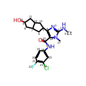 CCNc1nc(C2CC3CC(O)CC3C2)c(C(=O)Nc2ccc(F)c(Cl)c2)n1C